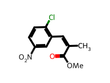 COC(=O)C(C)=Cc1cc([N+](=O)[O-])ccc1Cl